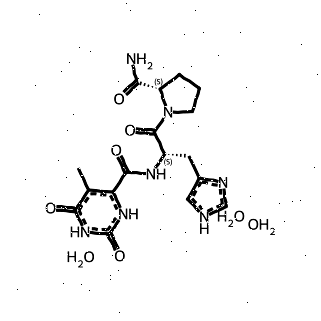 Cc1c(C(=O)N[C@@H](Cc2c[nH]cn2)C(=O)N2CCC[C@H]2C(N)=O)[nH]c(=O)[nH]c1=O.O.O.O